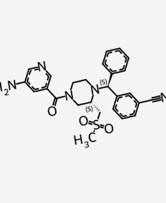 CS(=O)(=O)C[C@@H]1CN(C(=O)c2cncc(N)c2)CCN1[C@@H](c1ccccc1)c1cccc(C#N)c1